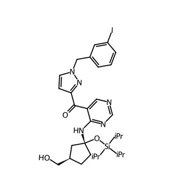 CC(C)[Si](O[C@]1(Nc2ncncc2C(=O)c2ccn(Cc3cccc(I)c3)n2)CC[C@@H](CO)C1)(C(C)C)C(C)C